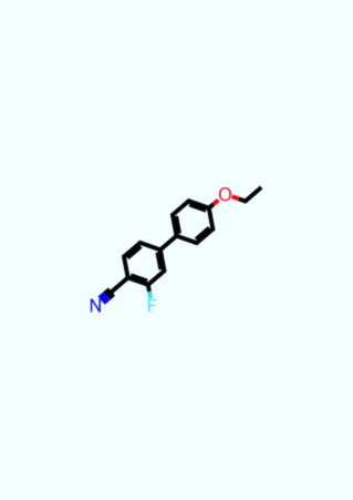 CCOc1ccc(-c2ccc(C#N)c(F)c2)cc1